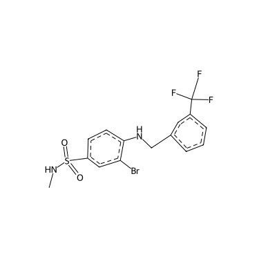 CNS(=O)(=O)c1ccc(NCc2cccc(C(F)(F)F)c2)c(Br)c1